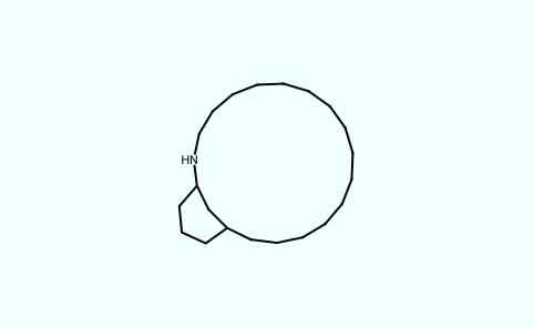 C1CCCCCCCNC2CCCC(CCCCCCC1)C2